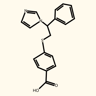 O=C(O)c1ccc(SCC(c2ccccc2)n2ccnc2)cc1